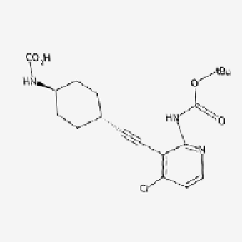 CC(C)(C)OC(=O)Nc1nccc(Cl)c1C#C[C@H]1CC[C@H](NC(=O)O)CC1